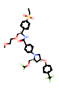 CCS(=O)(=O)c1ccc([C@H](COCCOC)NC(=O)c2ccc(N3C[C@@H](Oc4ccc(C(F)(F)F)cc4)C[C@H]3COC(F)F)cc2)cc1